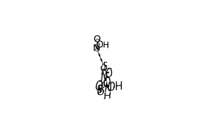 C[C@@](CCN1Cc2cc(C#CC#CC3CN(CC4(O)COC4)C3)sc2C1=O)(C(=O)NO)S(C)(=O)=O